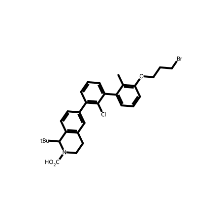 Cc1c(OCCCBr)cccc1-c1cccc(-c2ccc3c(c2)CCN(C(=O)O)C3C(C)(C)C)c1Cl